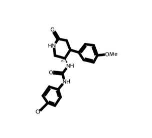 COc1ccc(C2CC(=O)NC[C@H]2NC(=O)Nc2ccc(Cl)cc2)cc1